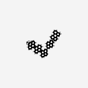 C=CC.c1cc2ccc3cccc4ccc(c1)c2c34.c1cc2ccc3cccc4ccc(c1)c2c34.c1cc2ccc3cccc4ccc(c1)c2c34.c1cc2ccc3cccc4ccc(c1)c2c34.c1cc2cccc3c4cccc5cccc(c(c1)c23)c54